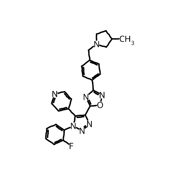 CC1CCN(Cc2ccc(-c3noc(-c4nnn(-c5ccccc5F)c4-c4ccncc4)n3)cc2)C1